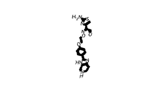 Nc1nc(/C(C=O)=N/OCCOc2ccc(-c3nc4c([nH]3)CNCC4)cc2)cs1